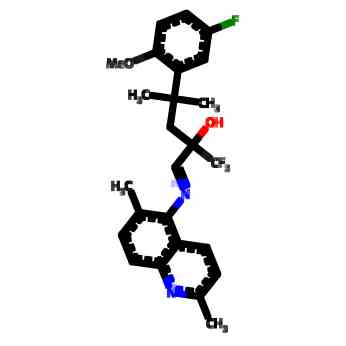 COc1ccc(F)cc1C(C)(C)CC(O)(/C=N/c1c(C)ccc2nc(C)ccc12)C(F)(F)F